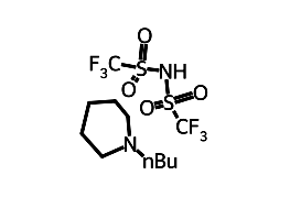 CCCCN1CCCCC1.O=S(=O)(NS(=O)(=O)C(F)(F)F)C(F)(F)F